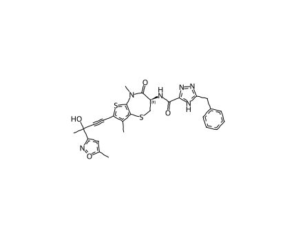 Cc1cc(C(C)(O)C#Cc2sc3c(c2C)SC[C@H](NC(=O)c2nnc(Cc4ccccc4)[nH]2)C(=O)N3C)no1